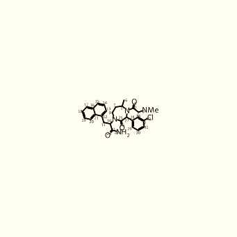 CNCC(=O)N1C(C)CCN(C(Cc2cccc3ccccc23)C(N)=O)C(=O)C1c1cccc(Cl)c1